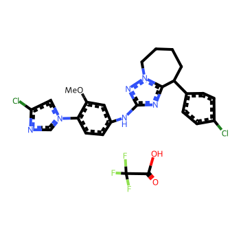 COc1cc(Nc2nc3n(n2)CCCCC3c2ccc(Cl)cc2)ccc1-n1cnc(Cl)c1.O=C(O)C(F)(F)F